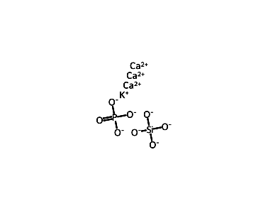 O=P([O-])([O-])[O-].[Ca+2].[Ca+2].[Ca+2].[K+].[O-][Si]([O-])([O-])[O-]